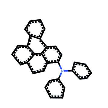 c1ccc(N(c2ccccc2)c2ccc3c4ccccc4c4cccc5ccc2c3c54)cc1